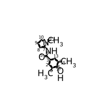 Cc1cc(C(=O)Nc2cccn2C)cc(C)c1O